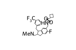 CNCC1Cc2cc(F)c(CNS(=O)(=O)C3CCC3)cc2C1Cc1cccc(C(F)(F)F)c1